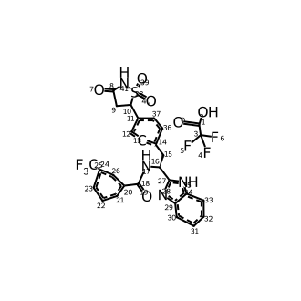 O=C(O)C(F)(F)F.O=C1CC(c2ccc(C[C@H](NC(=O)c3cccc(C(F)(F)F)c3)c3nc4ccccc4[nH]3)cc2)S(=O)(=O)N1